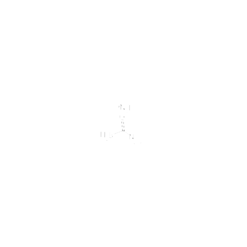 BC(N)=O.N